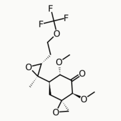 CO[C@@H]1C(=O)[C@@H](OC)[C@]2(CO2)C[C@H]1[C@@]1(C)O[C@@H]1CCOC(F)(F)F